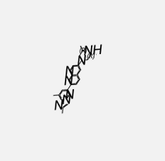 Cc1cn2nc(-c3ccc4cc(N5C[C@@H](C)N[C@H](C)C5)cnc4n3)cc(C)c2n1